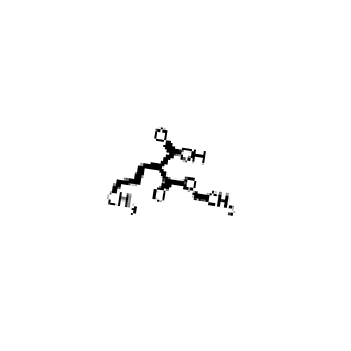 CCC=CC(C(=O)O)C(=O)OCC